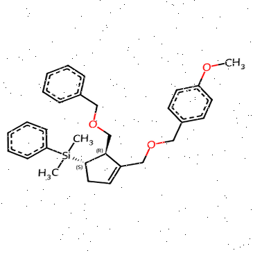 COc1ccc(COCC2=CC[C@H]([Si](C)(C)c3ccccc3)[C@H]2COCc2ccccc2)cc1